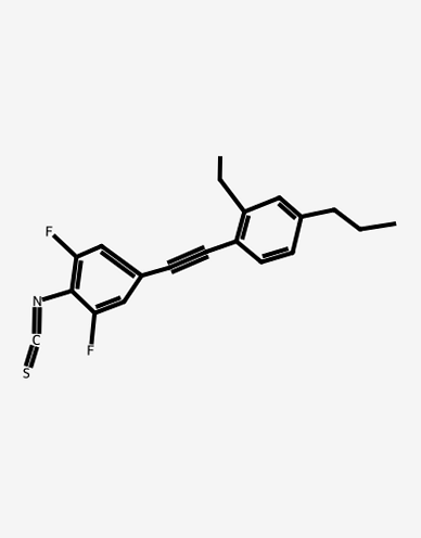 CCCc1ccc(C#Cc2cc(F)c(N=C=S)c(F)c2)c(CC)c1